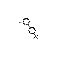 Cc1cccc(-c2ccc(C(C)(C)C)cc2)c1